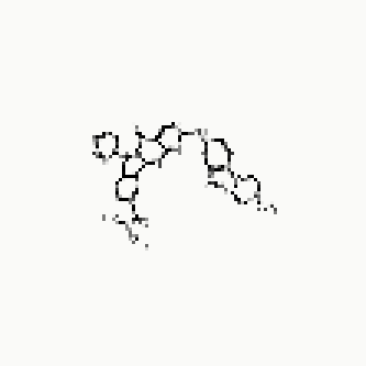 Cc1cc(Nc2ncc3c(=O)n4c(nc3n2)c2cc(C(=O)N(C)C)ccc2n4-c2ccccn2)ccc1N1CCN(C)CC1